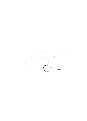 C=CCc1ccccc1C(OCCCOC)C1CCCN(S(=O)(=O)CC[Si](C)(C)C)C1